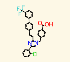 O=C(O)c1ccc(Cn2cc(-c3ccccc3Cl)nc2C=Cc2ccc(-c3cccc(C(F)(F)F)c3)cc2)cc1